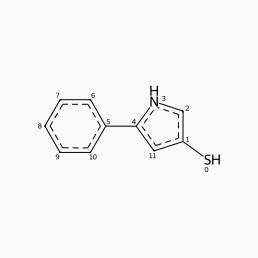 Sc1c[nH]c(-c2ccccc2)c1